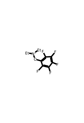 CC[N+](CC)Oc1c(F)c(F)c(F)c(F)c1F